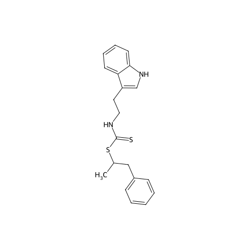 CC(Cc1ccccc1)SC(=S)NCCc1c[nH]c2ccccc12